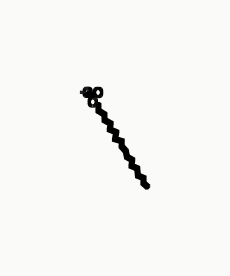 CCCCCCCCCCCCCCCCCCCOC([O])=O